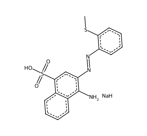 CSc1ccccc1N=Nc1cc(S(=O)(=O)O)c2ccccc2c1N.[NaH]